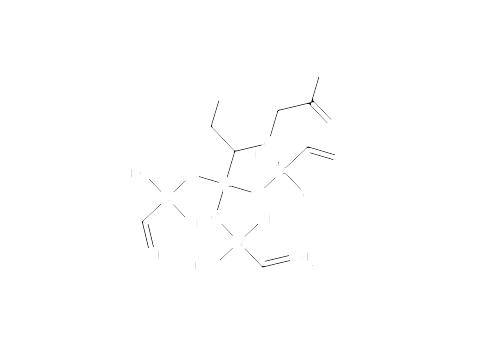 C=C[Si](C)(C)O[Si](O[Si](C)(C)C=C)(O[Si](C)(C)C=C)C(CC)OCC(=C)C